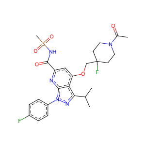 CC(=O)N1CCC(F)(COc2cc(C(=O)NS(C)(=O)=O)nc3c2c(C(C)C)nn3-c2ccc(F)cc2)CC1